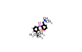 CN(C)Cc1ccccc1Pc1cccc([Si](C)(C)C)c1O